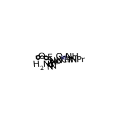 CC(C)NCCNC(C)(C)/C=C(\C#N)C(=O)N1CCC[C@@H](n2nc(-c3ccc(Oc4ccccc4)cc3F)c3c(N)ncnc32)C1